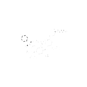 CNC(=O)CO[C@H]1C[C@@H](OC(C)=O)[C@H](O[C@@H]2O[C@H](COS(=O)(=O)c3ccc(C)cc3)[C@H](OC(C)=O)[C@H](OC(C)=O)[C@H]2OC(C)=O)[C@@H](COC(C)=O)O1